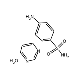 Nc1ccc(S(N)(=O)=O)cc1.O.c1cncnc1